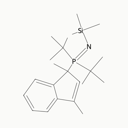 CC1=CC(C)(P(=N[Si](C)(C)C)(C(C)(C)C)C(C)(C)C)c2ccccc21